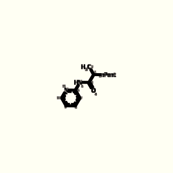 CCCCCC(C)C(=O)Nc1ccccn1